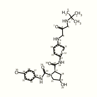 CC(C)(C)NCC(=O)CNc1ccc(NC(=O)[C@H]2C[C@@H](O)CN2C(=O)Nc2ccc(Cl)cc2)cc1